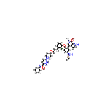 CCSNc1ccc(Oc2cccc(CCCOC3CCN(c4ccc(C(=O)NC5CCCCC5)nn4)CC3)c2F)c(-c2cn(C)c(=O)c3[nH]ccc23)c1